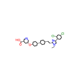 CCn1cc(-c2ccc(Cl)cc2Cl)nc1C=Cc1ccc(-c2ccc(Oc3cncc(C(=O)O)c3)cc2)cc1